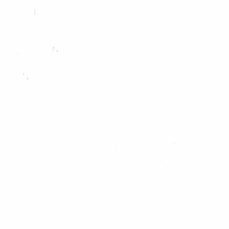 O=C(CS(=O)(=O)c1ccccc1)c1ccc(-c2noc(C(F)(F)F)n2)cc1